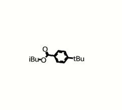 CCC(C)OC(=O)c1ccc(C(C)(C)C)cc1